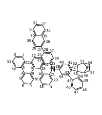 c1ccc(-c2ccccc2-c2ccccc2-c2ccccc2N(c2ccc(-c3ccc4ccccc4c3)cc2)c2ccc3c(c2)-c2ccccc2C32CC3CCC2C3)cc1